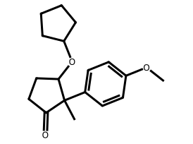 COc1ccc(C2(C)C(=O)CCC2OC2CCCC2)cc1